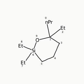 CCCC1(CC)CCC[Si](CC)(CC)O1